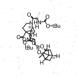 COC(=O)C12CCN(C(=O)[C@H](C)NC(=O)OC(C)(C)C)[C@@H](CN1C(=O)OC(C)(C)C)[C@H]2CCCB1O[C@@H]2C[C@@H]3C[C@@H](C3(C)C)[C@]2(C)O1